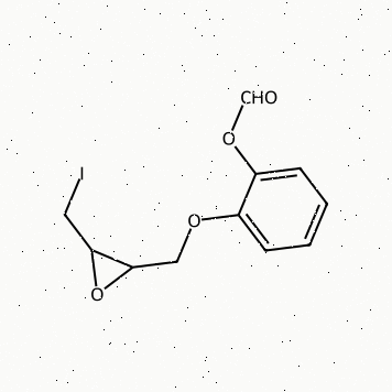 O=COc1ccccc1OCC1OC1CI